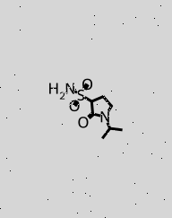 CC(C)N1CCC(S(N)(=O)=O)C1=O